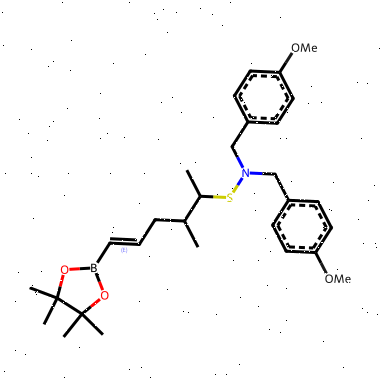 COc1ccc(CN(Cc2ccc(OC)cc2)SC(C)C(C)C/C=C/B2OC(C)(C)C(C)(C)O2)cc1